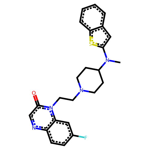 CN(c1cc2ccccc2s1)C1CCN(CCn2c(=O)cnc3ccc(F)cc32)CC1